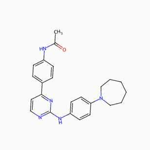 CC(=O)Nc1ccc(-c2ccnc(Nc3ccc(N4CCCCCC4)cc3)n2)cc1